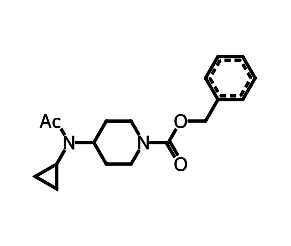 CC(=O)N(C1CC1)C1CCN(C(=O)OCc2ccccc2)CC1